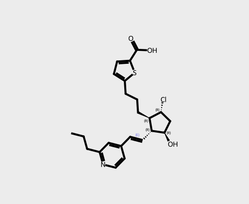 CCCc1cc(/C=C/[C@@H]2[C@@H](CCCc3ccc(C(=O)O)s3)[C@H](Cl)C[C@H]2O)ccn1